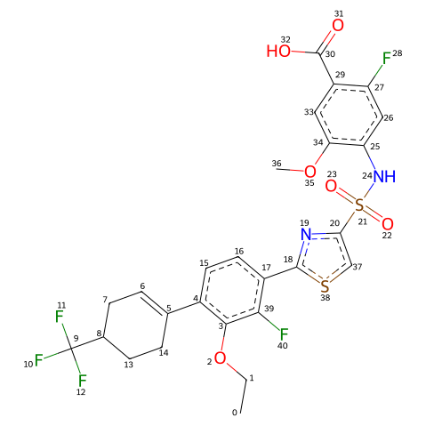 CCOc1c(C2=CCC(C(F)(F)F)CC2)ccc(-c2nc(S(=O)(=O)Nc3cc(F)c(C(=O)O)cc3OC)cs2)c1F